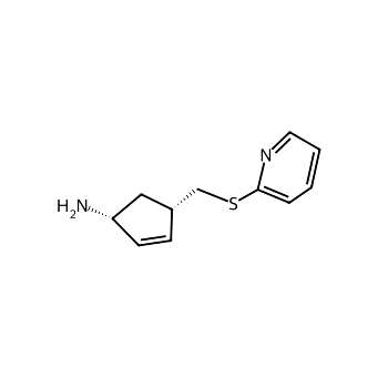 N[C@H]1C=C[C@@H](CSc2ccccn2)C1